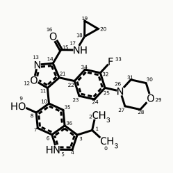 CC(C)c1c[nH]c2cc(O)c(-c3onc(C(=O)NC4CC4)c3-c3ccc(N4CCOCC4)c(F)c3)cc12